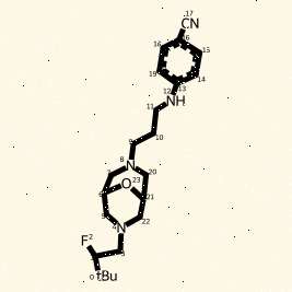 CC(C)(C)C(F)CN1CC2CN(CCCNc3ccc(C#N)cc3)CC(C1)O2